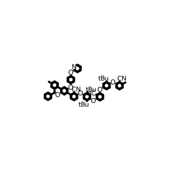 Cc1ccc(-c2ccc(-c3cccc(Oc4cc(C(C)(C)C)c(Oc5cccc(Oc6ccc(Oc7cccc(C)c7C#N)c(C(C)(C)C)c6)c5C#N)cc4C(C)(C)C)c3C#N)c(Oc3ccc(Oc4ccccn4)cc3)c2)c(C(=O)c2ccccc2)c1